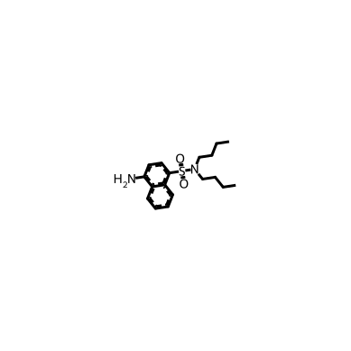 CCCCN(CCCC)S(=O)(=O)c1ccc(N)c2ccccc12